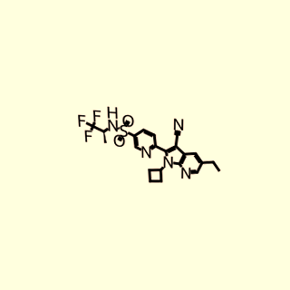 CCc1cnc2c(c1)c(C#N)c(-c1ccc(S(=O)(=O)N[C@@H](C)C(F)(F)F)cn1)n2C1CCC1